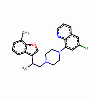 COc1cccc2c(C(C)CN3CCN(c4cc(Cl)cc5cccnc45)CC3)coc12